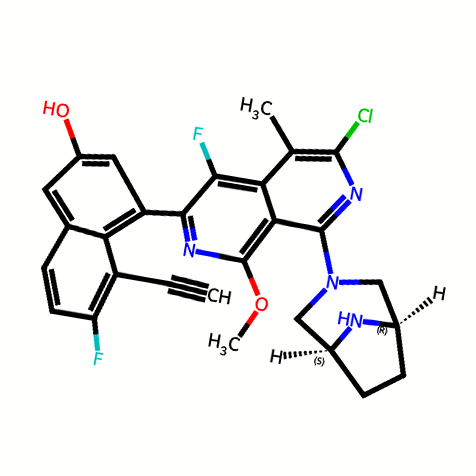 C#Cc1c(F)ccc2cc(O)cc(-c3nc(OC)c4c(N5C[C@H]6CC[C@@H](C5)N6)nc(Cl)c(C)c4c3F)c12